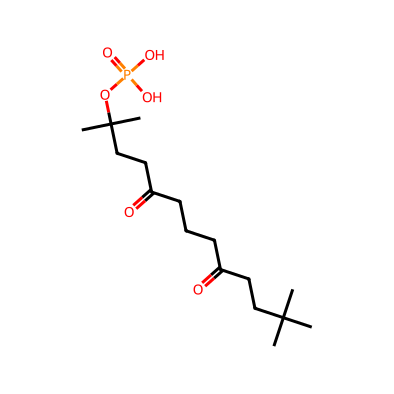 CC(C)(C)CCC(=O)CCCC(=O)CCC(C)(C)OP(=O)(O)O